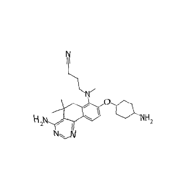 CN(CCCC#N)c1c(OC2CCC(N)CC2)ccc2c1CC(C)(C)c1c(N)ncnc1-2